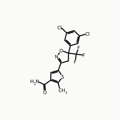 Cc1sc(C2=NOC(c3cc(Cl)cc(Cl)c3)(C(F)(F)F)C2)cc1C(N)=O